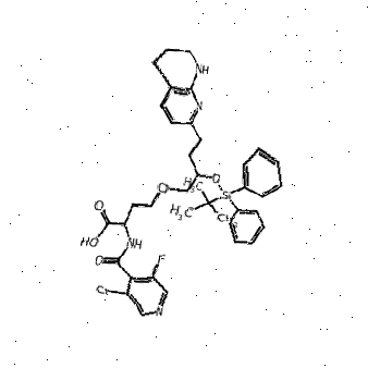 CC(C)(C)[Si](OC(CCc1ccc2c(n1)NCCC2)COCCC(NC(=O)c1c(F)cncc1Cl)C(=O)O)(c1ccccc1)c1ccccc1